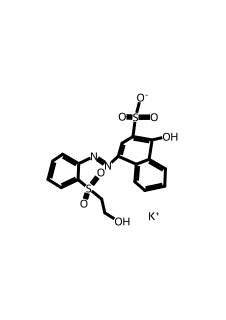 O=S(=O)([O-])c1cc(N=Nc2ccccc2S(=O)(=O)CCO)c2ccccc2c1O.[K+]